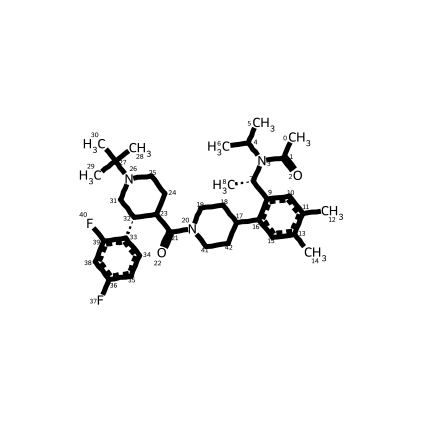 CC(=O)N(C(C)C)[C@@H](C)c1cc(C)c(C)cc1C1CCN(C(=O)C2CCN(C(C)(C)C)C[C@H]2c2ccc(F)cc2F)CC1